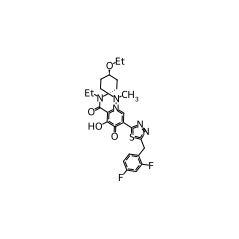 CCO[C@H]1CC[C@@]2(CC1)N(CC)C(=O)c1c(O)c(=O)c(-c3nnc(Cc4ccc(F)cc4F)s3)cn1N2C